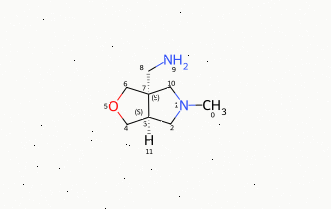 CN1C[C@H]2COC[C@@]2(CN)C1